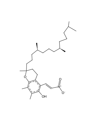 Cc1c(C)c2c(c(C=C[N+](=O)[O-])c1O)CCC(C)(CCC[C@@H](C)CCC[C@H](C)CCCC(C)C)O2